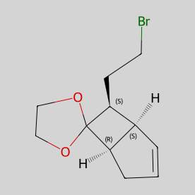 BrCC[C@H]1[C@H]2C=CC[C@H]2C12OCCO2